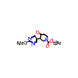 COc1ncc(C2CN(C(=O)OC(C)(C)C)CCC2=O)cn1